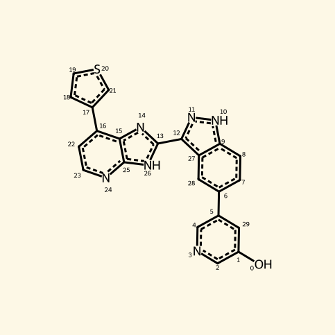 Oc1cncc(-c2ccc3[nH]nc(-c4nc5c(-c6ccsc6)ccnc5[nH]4)c3c2)c1